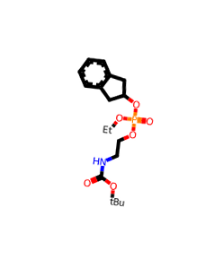 CCOP(=O)(OCCNC(=O)OC(C)(C)C)OC1Cc2ccccc2C1